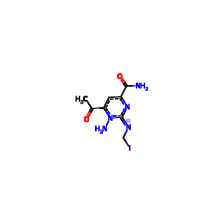 CC(=O)c1cc(C(N)=O)n/c(=N/CI)n1N